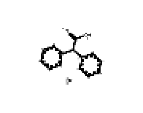 O=C(O)C(c1ccccc1)c1ccccc1.[Eu]